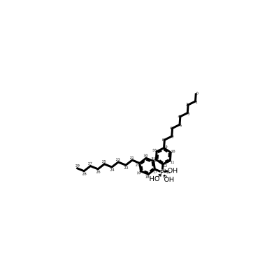 CCCCCCCCCc1ccc(P(O)(O)(O)c2ccc(CCCCCCCCC)cc2)cc1